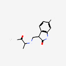 COC(=O)C(C)NCC1C(=O)Nc2cc(C(F)(F)F)ccc21